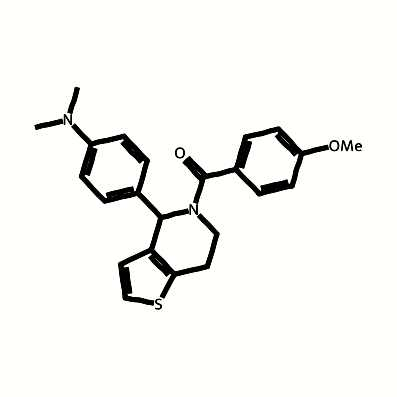 COc1ccc(C(=O)N2CCc3sccc3C2c2ccc(N(C)C)cc2)cc1